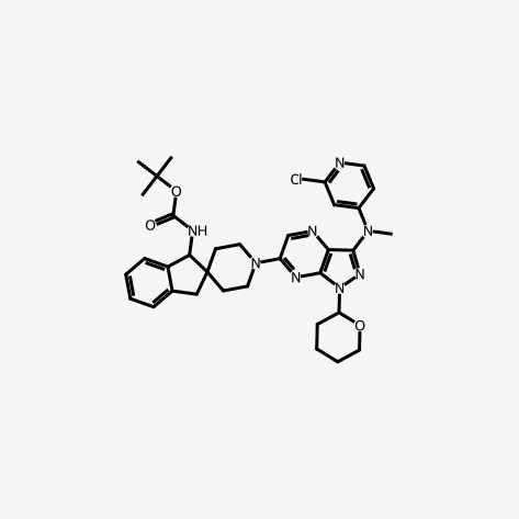 CN(c1ccnc(Cl)c1)c1nn(C2CCCCO2)c2nc(N3CCC4(CC3)Cc3ccccc3C4NC(=O)OC(C)(C)C)cnc12